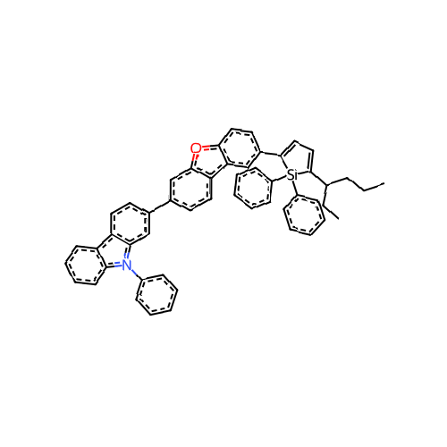 CCCC(CC)C1=CC=C(c2ccc3oc4cc(-c5ccc6c7ccccc7n(-c7ccccc7)c6c5)ccc4c3c2)[Si]1(c1ccccc1)c1ccccc1